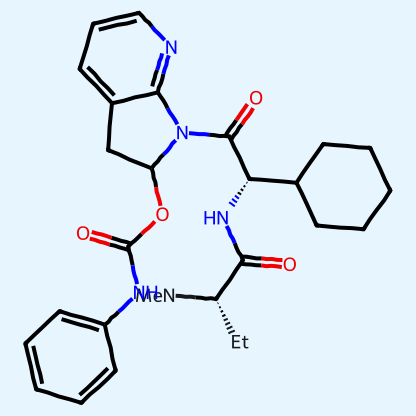 CC[C@H](NC)C(=O)N[C@H](C(=O)N1c2ncccc2CC1OC(=O)Nc1ccccc1)C1CCCCC1